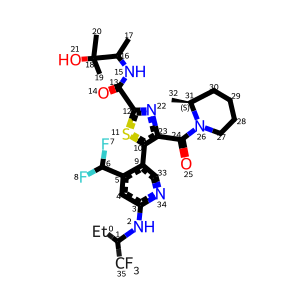 CCC(Nc1cc(C(F)F)c(-c2sc(C(=O)NC(C)C(C)(C)O)nc2C(=O)N2CCCC[C@@H]2C)cn1)C(F)(F)F